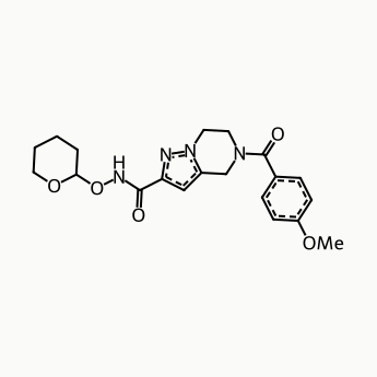 COc1ccc(C(=O)N2CCn3nc(C(=O)NOC4CCCCO4)cc3C2)cc1